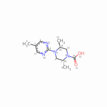 Cc1cnc(N2C[C@@H](C)N(C(=O)O)C[C@@H]2C)nc1